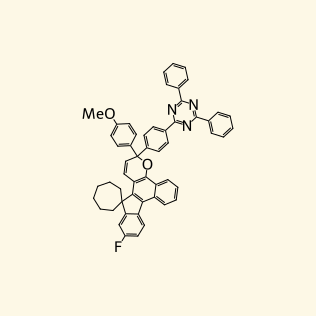 COc1ccc(C2(c3ccc(-c4nc(-c5ccccc5)nc(-c5ccccc5)n4)cc3)C=Cc3c4c(c5ccccc5c3O2)-c2ccc(F)cc2C42CCCCCC2)cc1